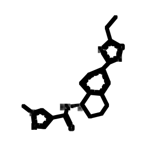 CCc1nc(-c2ccc3c(c2)CCC[C@@H]3NC(=O)c2cnn(C)c2)no1